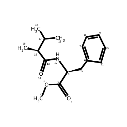 COC(=O)[C@H](Cc1ccccc1)NC(=O)[C@@H](C)C(C)C